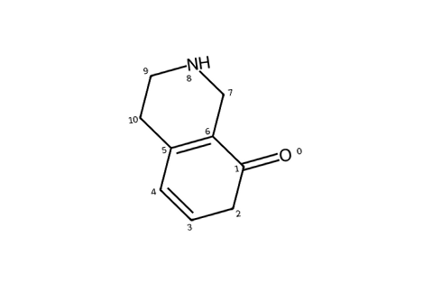 O=C1CC=CC2=C1CNCC2